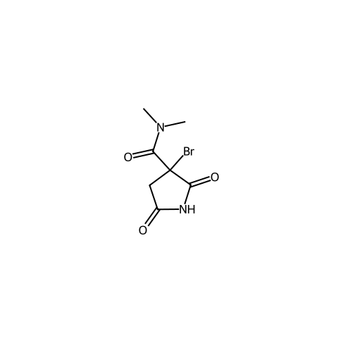 CN(C)C(=O)C1(Br)CC(=O)NC1=O